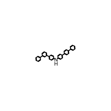 c1ccc(-c2ccc(-c3ccc(Nc4ccc(-c5cccc(-c6ccccc6)c5)cc4)cc3)cc2)cc1